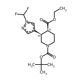 CCOC(=O)[C@H]1CCN(C(=O)OC(C)(C)C)C[C@H]1c1cnn(C(F)F)c1